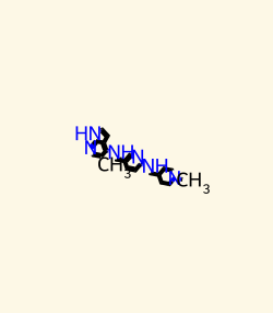 Cc1cnc2[nH]ccc2c1NCc1ccc(NCC2CCN(C)CC2)nc1